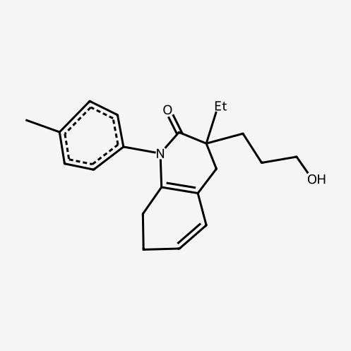 CCC1(CCCO)CC2=C(CCC=C2)N(c2ccc(C)cc2)C1=O